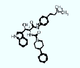 C[C@H](c1c[nH]c2ccccc12)[C@@H](NC(=O)N1CCC(c2ccccc2)CC1)C(=O)Nc1ccc(CCN(C)C)cc1